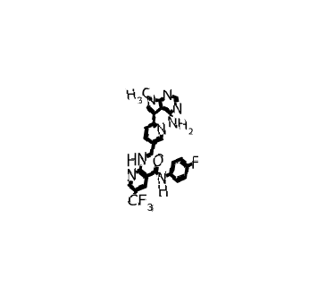 Cn1cc(-c2ccc(CNc3ncc(C(F)(F)F)cc3C(=O)Nc3ccc(F)cc3)cn2)c2c(N)ncnc21